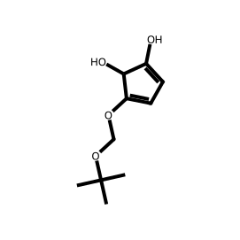 CC(C)(C)OCOC1=CC=C(O)C1O